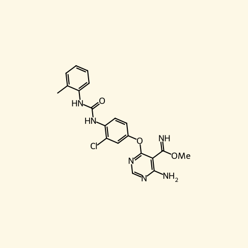 COC(=N)c1c(N)ncnc1Oc1ccc(NC(=O)Nc2ccccc2C)c(Cl)c1